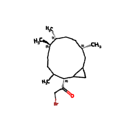 CC1CC[C@@H](C)[C@H](C)CC[C@H](C)CC2CC2[C@@H]1C(=O)CBr